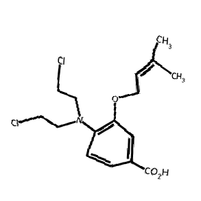 CC(C)=CCOc1cc(C(=O)O)ccc1N(CCCl)CCCl